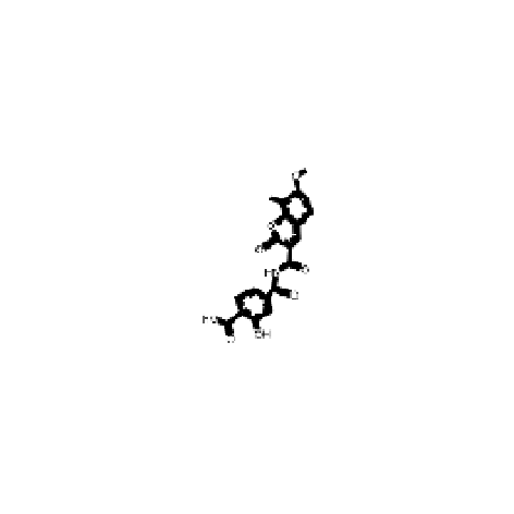 COc1ccc2cc(C(=O)NC(=O)c3ccc(C(=O)O)c(O)c3)c(=O)oc2c1C